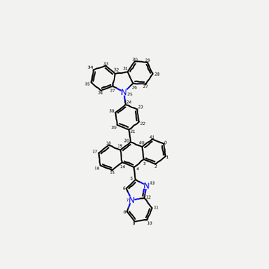 c1ccc2c(-c3cn4ccccc4n3)c3ccccc3c(-c3ccc(-n4c5ccccc5c5ccccc54)cc3)c2c1